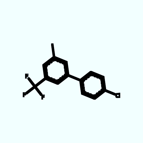 Cc1cc(-c2ccc(Cl)cc2)cc(C(F)(F)F)c1